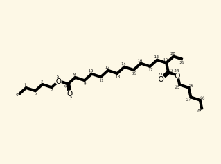 CCCCCOC(=O)CCCCCCCCCCCC(CC)C(=O)OCCCCC